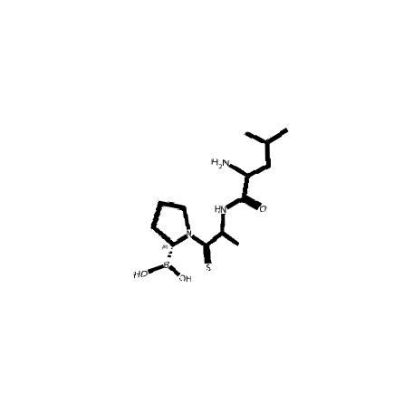 CC(C)CC(N)C(=O)NC(C)C(=S)N1CCC[C@H]1B(O)O